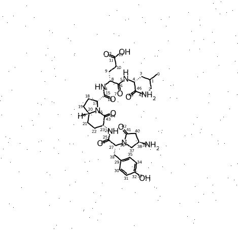 CC(C)C[C@@H](NC(=O)[C@@H](CCC(=O)O)NC(=O)[C@H]1CC[C@H]2CC[C@@H](NC(=O)[C@@H](Cc3ccc(O)cc3)N3C[C@H](N)CC3=O)C(=O)N21)C(N)=O